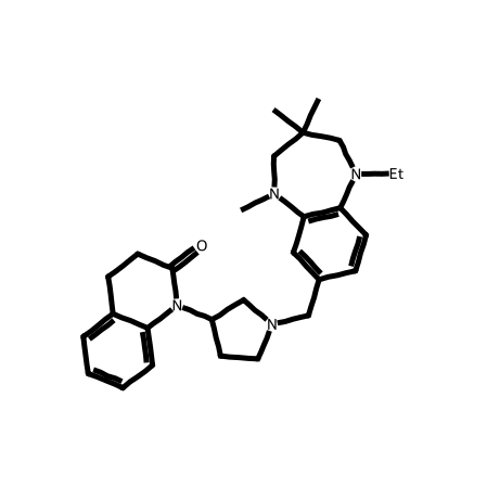 CCN1CC(C)(C)CN(C)c2cc(CN3CCC(N4C(=O)CCc5ccccc54)C3)ccc21